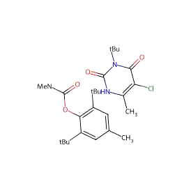 CNC(=O)Oc1c(C(C)(C)C)cc(C)cc1C(C)(C)C.Cc1[nH]c(=O)n(C(C)(C)C)c(=O)c1Cl